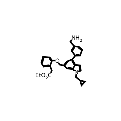 CCOC(=O)Cc1ccccc1OCc1cc(-c2cccc(CN)c2)c2ccn(CC3CC3)c2c1